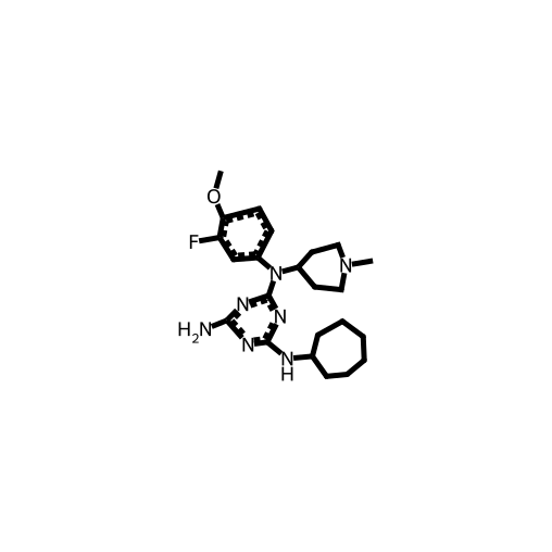 COc1ccc(N(c2nc(N)nc(NC3CCCCCC3)n2)C2CCN(C)CC2)cc1F